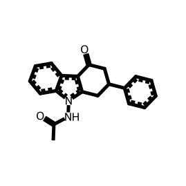 CC(=O)Nn1c2c(c3ccccc31)C(=O)CC(c1ccccc1)C2